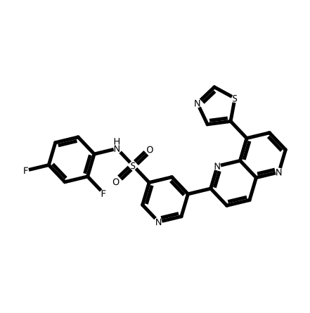 O=S(=O)(Nc1ccc(F)cc1F)c1cncc(-c2ccc3nccc(-c4cncs4)c3n2)c1